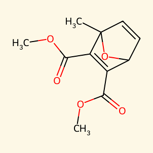 COC(=O)C1=C(C(=O)OC)C2(C)C=CC1O2